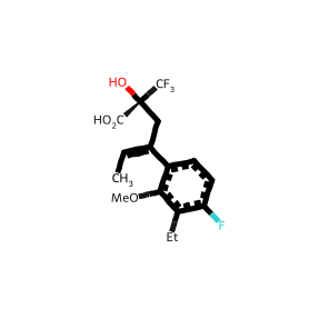 C/C=C(/C[C@@](O)(C(=O)O)C(F)(F)F)c1ccc(F)c(CC)c1OC